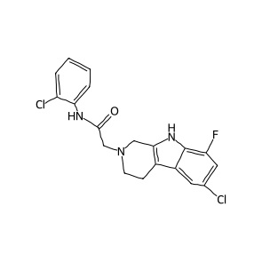 O=C(CN1CCc2c([nH]c3c(F)cc(Cl)cc23)C1)Nc1ccccc1Cl